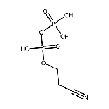 N#CCCOP(=O)(O)OP(=O)(O)O